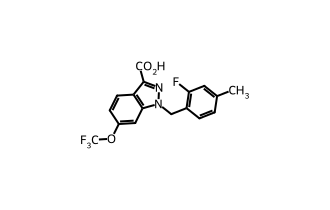 Cc1ccc(Cn2nc(C(=O)O)c3ccc(OC(F)(F)F)cc32)c(F)c1